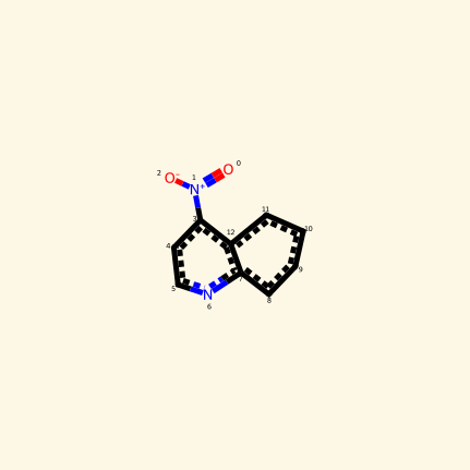 O=[N+]([O-])c1[c]cnc2ccccc12